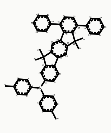 Cc1ccc(N(c2ccc(C)cc2)c2ccc3c(c2)C(C)(C)c2cc4c(cc2-3)C(C)(C)c2c(-c3ccccc3)ccc(-c3ccccc3)c2-4)cc1